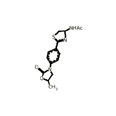 CC(=O)NC1CSC(c2ccc(N3CC(C)OC3=O)cc2)=N1